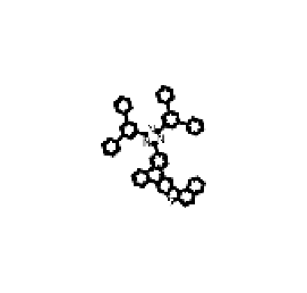 c1ccc(-c2cc(-c3ccccc3)cc(-c3nc(-c4cc(-c5ccccc5)cc(-c5ccccc5)c4)nc(-c4ccc5c(c4)c4ccccc4c4cc6sc7ccc8ccccc8c7c6cc54)n3)c2)cc1